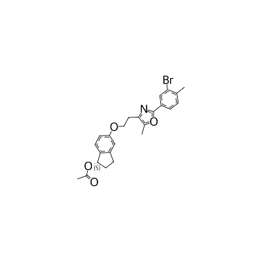 CC(=O)O[C@H]1CCc2cc(OCCc3nc(-c4ccc(C)c(Br)c4)oc3C)ccc21